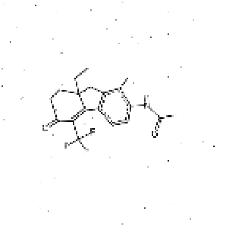 CCC12CCC(=O)C(C(F)(F)F)=C1c1ccc(NC(C)=O)c(C)c1C2